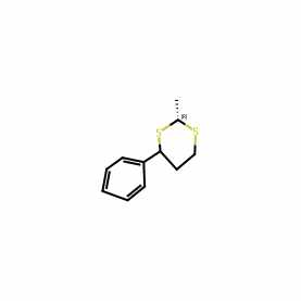 C[C@@H]1SCCC(c2ccccc2)S1